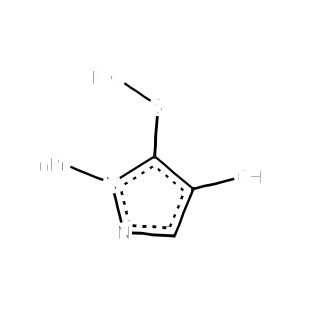 CCCn1n[c]c(C)c1SC(F)(F)F